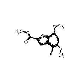 COC(=O)c1cc2c(F)c(OC)cc(OC)c2s1